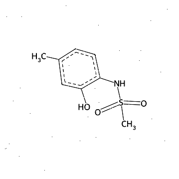 Cc1ccc(NS(C)(=O)=O)c(O)c1